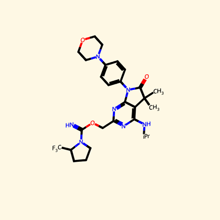 CC(C)Nc1nc(COC(=N)N2CCCC2C(F)(F)F)nc2c1C(C)(C)C(=O)N2c1ccc(N2CCOCC2)cc1